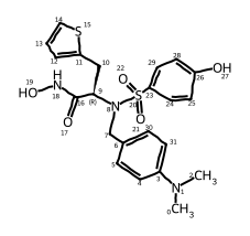 CN(C)c1ccc(CN([C@H](Cc2cccs2)C(=O)NO)S(=O)(=O)c2ccc(O)cc2)cc1